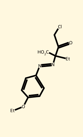 CCOc1ccc(N=NC(CC)(C(=O)O)C(=O)CCl)cc1